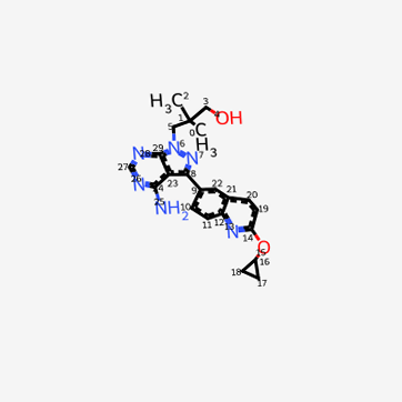 CC(C)(CO)Cn1nc(-c2ccc3nc(OC4CC4)ccc3c2)c2c(N)ncnc21